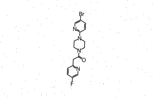 O=C(Cc1ccc(F)cn1)N1CCN(c2ccc(Br)cn2)CC1